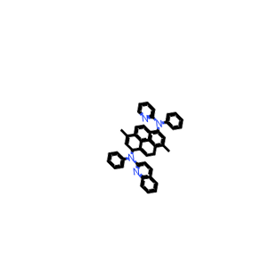 CC1=CC(N(c2ccccc2)c2ccc3ccccc3n2)C2=CCc3c(C)cc(N(c4ccccc4)c4ccccn4)c4ccc1c2c34